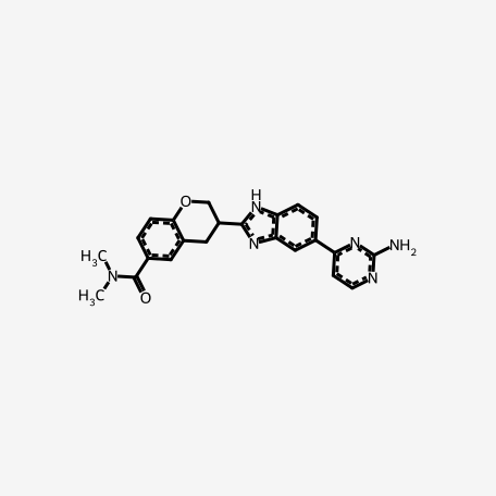 CN(C)C(=O)c1ccc2c(c1)CC(c1nc3cc(-c4ccnc(N)n4)ccc3[nH]1)CO2